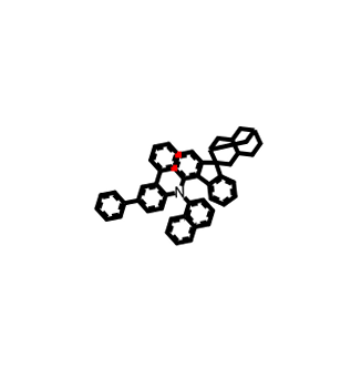 c1ccc(-c2ccc(N(c3cccc4c3-c3ccccc3C43CC4CCC5CC4CC3C5)c3cccc4ccccc34)c(-c3ccccc3)c2)cc1